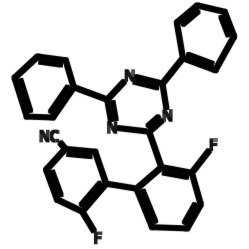 N#Cc1ccc(F)c(-c2cccc(F)c2-c2nc(-c3ccccc3)nc(-c3ccccc3)n2)c1